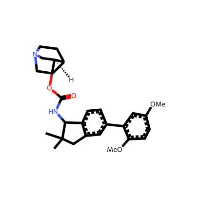 COc1ccc(OC)c(-c2ccc3c(c2)CC(C)(C)C3NC(=O)O[C@H]2CN3CCC2CC3)c1